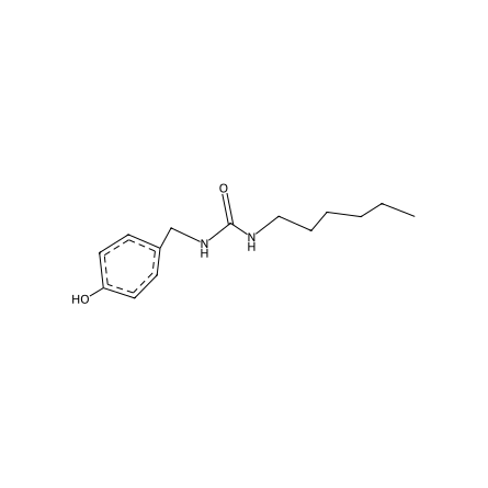 CCCCCCNC(=O)NCc1ccc(O)cc1